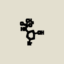 CS(=O)(=O)Nc1cc(O)cc(Br)c1